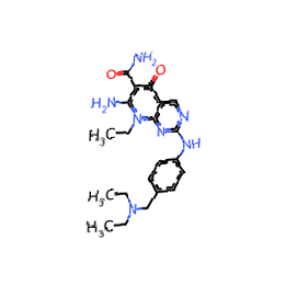 CCN(CC)Cc1ccc(Nc2ncc3c(=O)c(C(N)=O)c(N)n(CC)c3n2)cc1